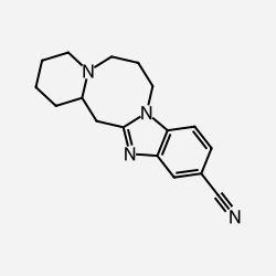 N#Cc1ccc2c(c1)nc1n2CCCN2CCCCC2C1